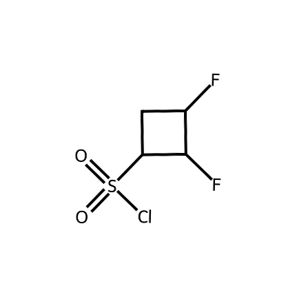 O=S(=O)(Cl)C1CC(F)C1F